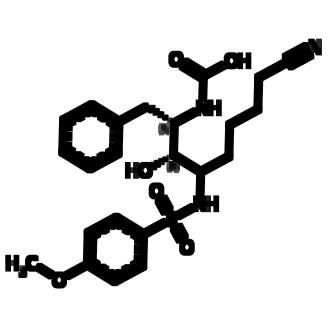 COc1ccc(S(=O)(=O)NC(CCCCC#N)[C@H](O)[C@H](Cc2ccccc2)NC(=O)O)cc1